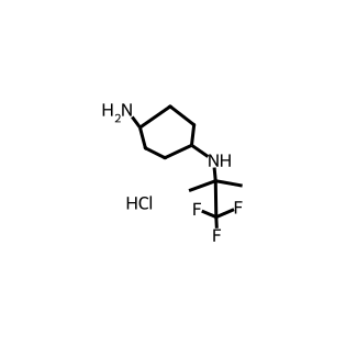 CC(C)(NC1CCC(N)CC1)C(F)(F)F.Cl